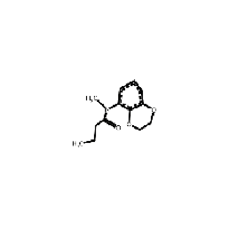 CCCC(=O)N(C)c1cccc2c1OCCO2